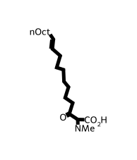 CCCCCCCCC=CCCCCCCCC(=O)C(NC)C(=O)O